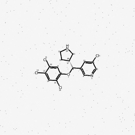 Clc1cncc(C(Oc2cc(Cl)c(Cl)cc2Cl)[C@@H]2CCNC2)c1